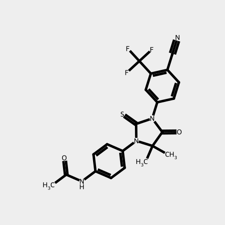 CC(=O)Nc1ccc(N2C(=S)N(c3ccc(C#N)c(C(F)(F)F)c3)C(=O)C2(C)C)cc1